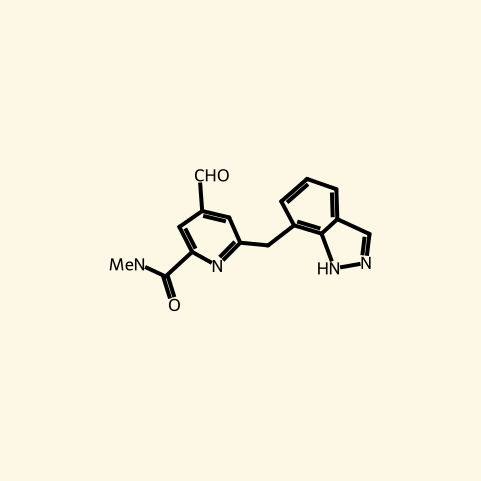 CNC(=O)c1cc(C=O)cc(Cc2cccc3cn[nH]c23)n1